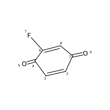 O=C1C=CC(=O)C(F)=C1